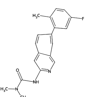 Cc1ccc(F)cc1-c1ccc2cc(NC(=O)N(C)C)ncc2c1